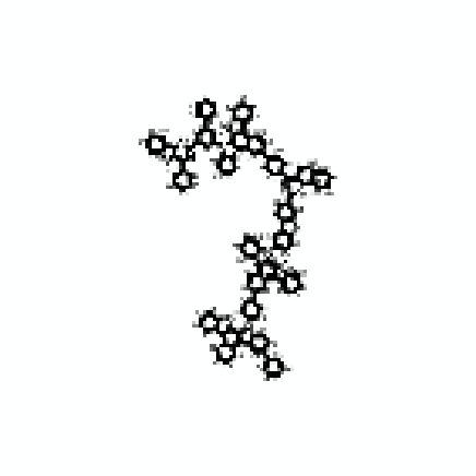 c1ccc(-c2cc(-c3nc(-c4ccccc4)c4sc5ccccc5c4n3)cc(-n3c4ccccc4c4c5cc(-c6ccc(-c7nc(-c8ccc9c(c8)sc8ccc(-n%10c%11ccccc%11c%11c%12ccc(-c%13ccc(-n%14c%15ccc(-c%16ccccc%16)cc%15c%15c%16ccccc%16c%16c%17ccccc%17sc%16c%15%14)cc%13)cc%12c%12c%13ccccc%13sc%12c%11%10)cc89)nc8c7ccc7ccccc78)cc6)ccc5c5c6ccccc6sc5c43)c2)cc1